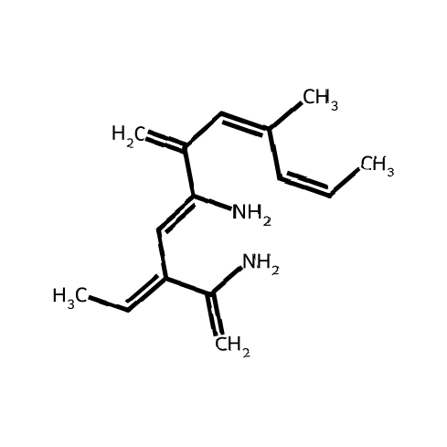 C=C(/C=C(C)\C=C/C)/C(N)=C/C(=C\C)C(=C)N